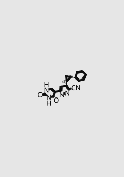 N#Cc1nnc(-c2c[nH]c(=O)[nH]c2=O)cc1[C@H]1C[C@@H]1c1ccccc1